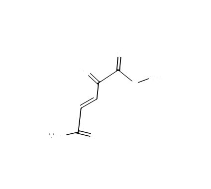 CCCCSC(=O)C(=O)/C=C/C(=O)OC